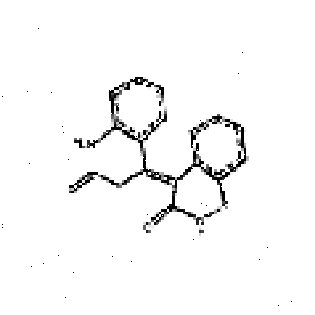 C=CCC(=C1C(=O)NSc2ccccc21)c1ccccc1N